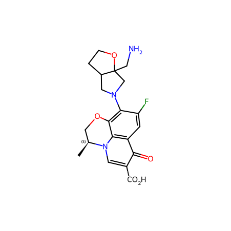 C[C@H]1COc2c(N3CC4CCOC4(CN)C3)c(F)cc3c(=O)c(C(=O)O)cn1c23